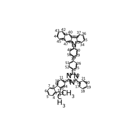 CC1(C)c2ccccc2-c2ccc(-c3nc(-c4ccccc4)nc(-c4ccc(-c5ccc(-n6c7ccccc7c7cc8ccccc8cc76)cc5)cc4)n3)cc21